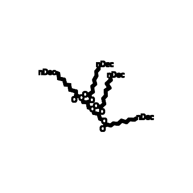 CCCCCCCCCCCCCCCCCC(=O)OCC(COCC(COC(=O)CCCCCCCCCCCCCCCCC)OC(=O)CCCCCCCCCCCCCCCCC)OC(=O)CCCCCCCCCCCCCCCCC